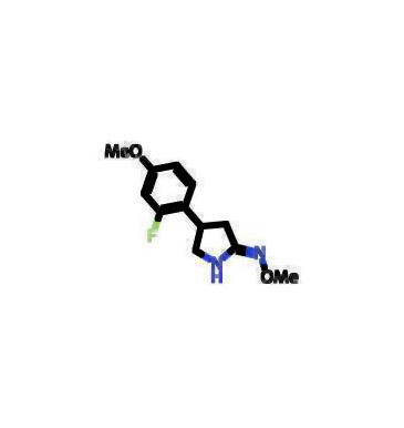 CO/N=C1/CC(c2ccc(OC)cc2F)CN1